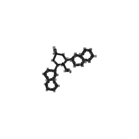 CN1C(c2ccc3ccccc3c2)CC(=O)CC1c1ccc2ccccc2c1